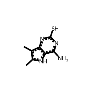 Cc1[nH]c2c(N)nc(S)nc2c1C